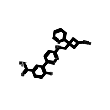 COC1CC(CNc2ccc(-c3cc(C(N)=O)ccc3F)nn2)(c2ccccn2)C1